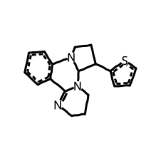 c1csc(C2CCN3c4ccccc4C4=NCCCN4C23)c1